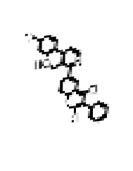 OCc1c(-c2ccc(Cl)cc2)ccnc1-c1ccc2nc(Cl)c(-c3ccccc3)c(Cl)c2c1